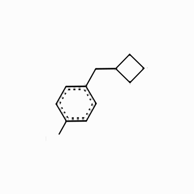 Cc1ccc(CC2CCC2)cc1